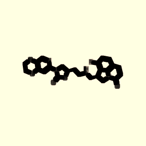 O=C1O[C@H](CCNC[C@@H]2Cn3c(=O)ccc4ccc(F)c2c43)CN1c1cc2c(cn1)OCCO2